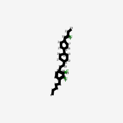 CCCCCc1ccc(CCC2CCC(C3CCC(/C=C(\F)CC)CC3)CC2)c(F)c1F